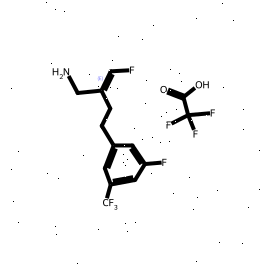 NC/C(=C/F)CCc1cc(F)cc(C(F)(F)F)c1.O=C(O)C(F)(F)F